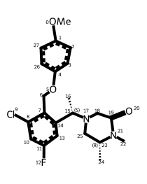 COc1ccc(OCc2c(Cl)cc(F)cc2[C@H](C)N2CC(=O)N(C)[C@H](C)C2)cc1